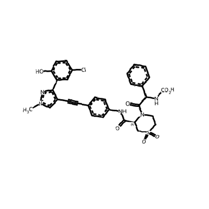 Cn1cc(C#Cc2ccc(NC(=O)[C@@H]3CS(=O)(=O)CCN3C(=O)C(NC(=O)O)c3ccccc3)cc2)c(-c2cc(Cl)ccc2O)n1